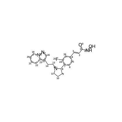 O=C(C=Cc1ccc(C2CCCN2CCc2cnn3ccccc23)c(F)c1)NO